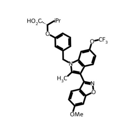 COc1ccc2c(-c3c(C)n(Cc4cccc(O[C@H](C(=O)O)C(C)C)c4)c4cc(OC(F)(F)F)ccc34)noc2c1